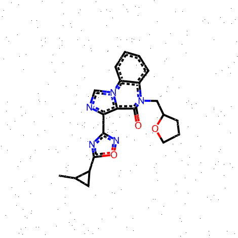 CC1CC1c1nc(-c2ncn3c2c(=O)n(CC2CCCO2)c2ccccc23)no1